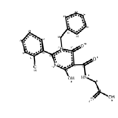 O=C(O)CNC(=O)c1c(O)nc(-c2ccccc2Cl)n(Cc2ccccc2)c1=O